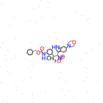 Cc1c(CC(c2c[nH]c3cc(N4CCOCC4)ccc23)[N+](=O)[O-])cccc1NC(=O)OCc1ccccc1